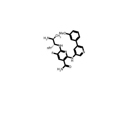 CCC[C@@H](Nc1nc(Nc2cncc(-c3cccc(OC)c3)c2)c(C(N)=O)cc1F)[C@H](C)N